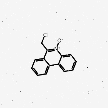 [O-][n+]1c(CCl)c2ccccc2c2ccccc21